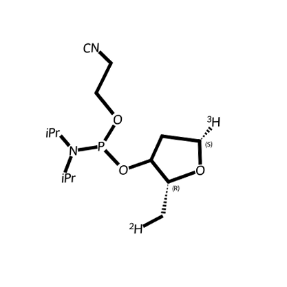 [2H]C[C@H]1O[C@@H]([3H])CC1OP(OCC[N+]#[C-])N(C(C)C)C(C)C